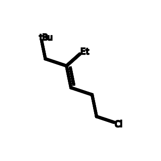 CC/C(=C\CCCl)CC(C)(C)C